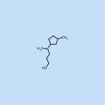 CN1CCC(N(C)CCCO)C1